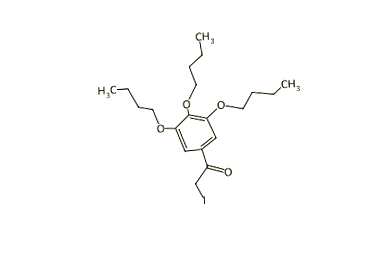 CCCCOc1cc(C(=O)CI)cc(OCCCC)c1OCCCC